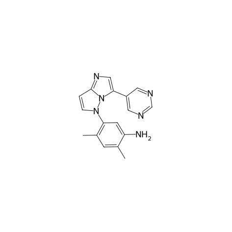 Cc1cc(C)c(-n2ccc3ncc(-c4cncnc4)n32)cc1N